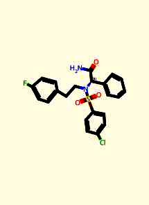 NC(=O)[C@@H](c1ccccc1)N(CCc1ccc(F)cc1)S(=O)(=O)c1ccc(Cl)cc1